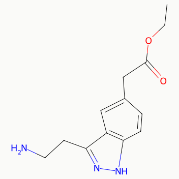 CCOC(=O)Cc1ccc2[nH]nc(CCN)c2c1